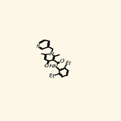 CCc1cccc(CC)c1NC(=O)c1c(C)n(Cc2cccnc2)c(C)cc1=O